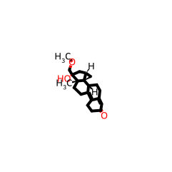 COC[C@]1(O)C[C@H]2C[C@]23[C@@H]2CCC4=CC(=O)CCC4=C2CC[C@]13C